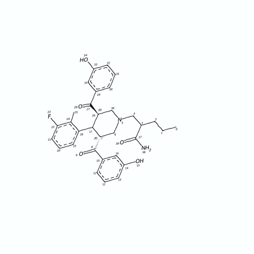 CCCC(CN1C[C@H](C(=O)c2cccc(O)c2)C(c2cccc(F)c2C)[C@@H](C(=O)c2cccc(O)c2)C1)C(N)=O